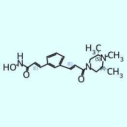 C[C@@H]1CN(C(=O)/C=C/c2cccc(/C=C/C(=O)NO)c2)C[C@H](C)N1C